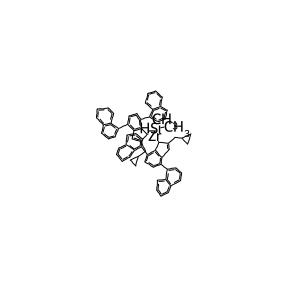 C[SiH](C)[Zr]([CH]1C(CC2CC2)=Cc2c(-c3cccc4ccccc34)ccc(-c3cccc4ccccc34)c21)[CH]1C(CC2CC2)=Cc2c(-c3cccc4ccccc34)ccc(-c3cccc4ccccc34)c21